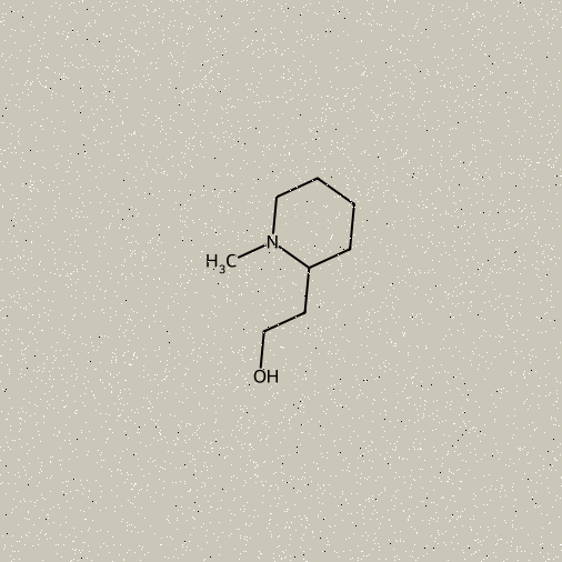 CN1CCCCC1CCO